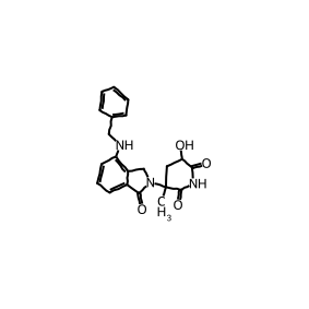 CC1(N2Cc3c(NCc4ccccc4)cccc3C2=O)CC(O)C(=O)NC1=O